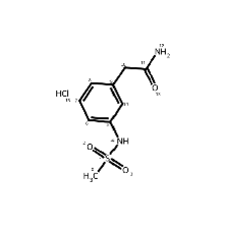 CS(=O)(=O)Nc1cccc(CC(N)=O)c1.Cl